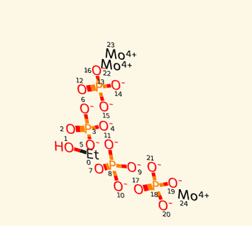 CCO.O=P([O-])([O-])[O-].O=P([O-])([O-])[O-].O=P([O-])([O-])[O-].O=P([O-])([O-])[O-].[Mo+4].[Mo+4].[Mo+4]